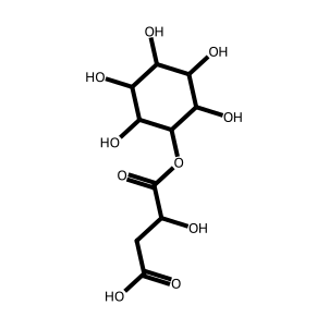 O=C(O)CC(O)C(=O)OC1C(O)C(O)C(O)C(O)C1O